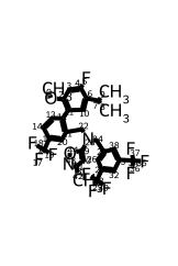 COc1cc(F)c(C(C)C)cc1-c1ccc(C(F)(F)F)cc1CN(Cc1cc(C(F)(F)F)cc(C(F)(F)F)c1)c1cc(C)no1